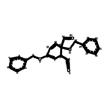 O=CC1C=C(OCc2ccccc2)C=CC1(C=O)OCc1ccccc1